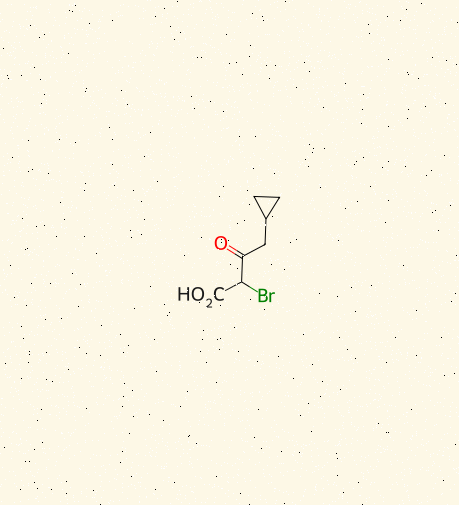 O=C(O)C(Br)C(=O)CC1CC1